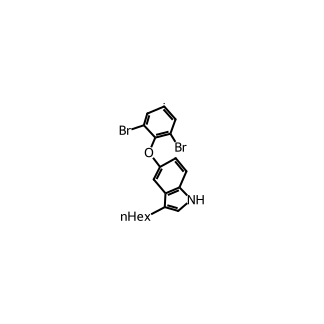 CCCCCCc1c[nH]c2ccc(Oc3c(Br)c[c]cc3Br)cc12